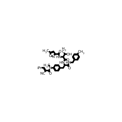 Cc1ccc(CNC(=O)C(Cc2ccc(N(C)C(=O)C(C#N)=CC(C)C)cc2)NC(=O)C(NC(=O)c2cc(C)on2)C(C)O)cc1